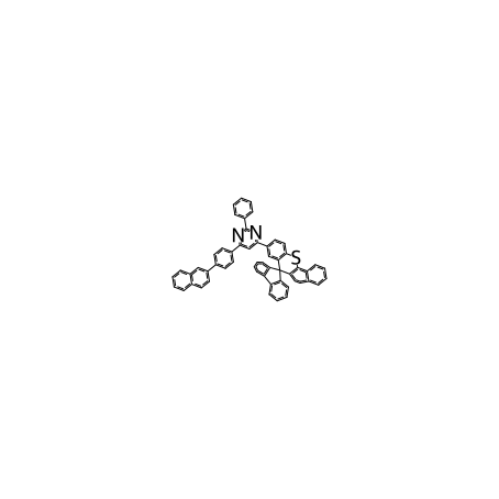 c1ccc(-c2nc(-c3ccc(-c4ccc5ccccc5c4)cc3)cc(-c3ccc4c(c3)C3(c5ccccc5-c5ccccc53)c3ccc5ccccc5c3S4)n2)cc1